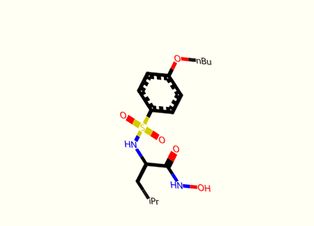 CCCCOc1ccc(S(=O)(=O)NC(CC(C)C)C(=O)NO)cc1